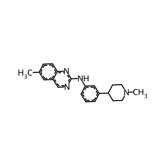 Cc1ccc2nc(Nc3cccc(C4CCN(C)CC4)c3)ncc2c1